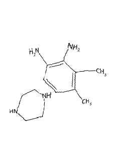 C1CNCCN1.Cc1ccc(N)c(N)c1C